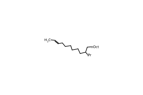 [CH2]/C=C/CCCCCCC(CCCCCCCC[CH2])C(C)C